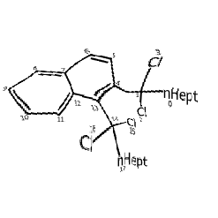 CCCCCCCC(Cl)(Cl)c1ccc2ccccc2c1C(Cl)(Cl)CCCCCCC